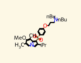 CCCCN(CCCC)CCCOc1ccc(S(=O)(=O)c2c(C(C)C)cn3cc(C)c(OC)c(C)c23)cc1